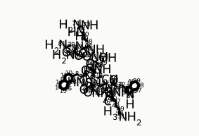 CCC[C@H](NC(=O)[C@H](Cc1ccc2ccccc2c1)NC(=O)S[C@H](NC(=O)CNC(=O)[C@H](Cc1c[nH]c2ccccc12)NC(=O)[C@@H](C)CCCCN)C(N)=O)C(=O)N[C@@H](CO)C(=O)NC(=O)N[C@@H](CCCNC(=N)N)C(=O)N[C@@H](CC(N)=O)C(N)=O